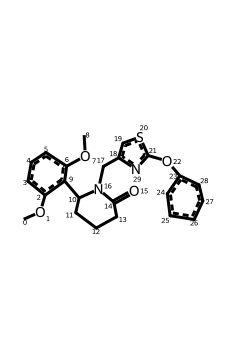 COc1cccc(OC)c1C1CCCC(=O)N1Cc1csc(Oc2ccccc2)n1